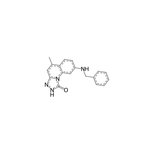 Cc1cc2n[nH]c(=O)n2c2cc(NCc3ccccc3)ccc12